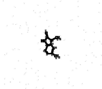 Cc1cnc2[nH]c(=O)n(C)c2n1